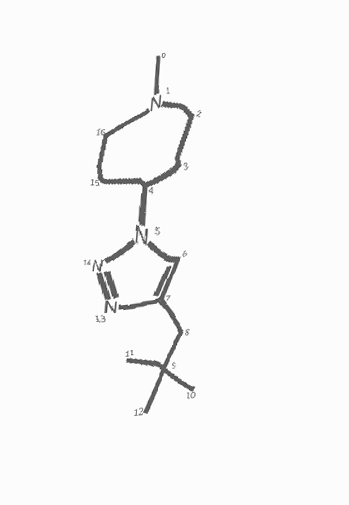 CN1CCC(n2cc(CC(C)(C)C)nn2)CC1